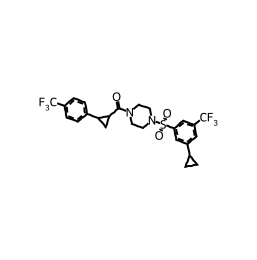 O=C(C1CC1c1ccc(C(F)(F)F)cc1)N1CCN(S(=O)(=O)c2cc(C3CC3)cc(C(F)(F)F)c2)CC1